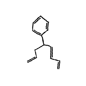 C=CC=CC(CC=C)c1ccccc1